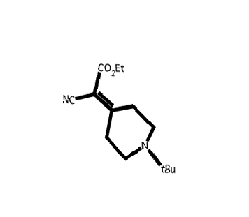 CCOC(=O)C(C#N)=C1CCN(C(C)(C)C)CC1